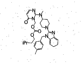 Cc1ccc(Cn2c(N3CCC(N(C)c4nccc(=O)n4COC(=O)OCCC(C)C)CC3)nc3c2=CCCC=3)cc1